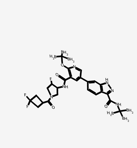 BC(B)(B)NC(=O)c1n[nH]c2cc(-c3cnc(OC(B)(B)B)c(C(=O)NC4CN(C(=O)C5CC(F)(F)C5)CC4F)c3)ccc12